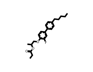 CCCCCc1ccc(-c2ccc(OCC(C)OC(=O)CC)c(F)c2)cc1